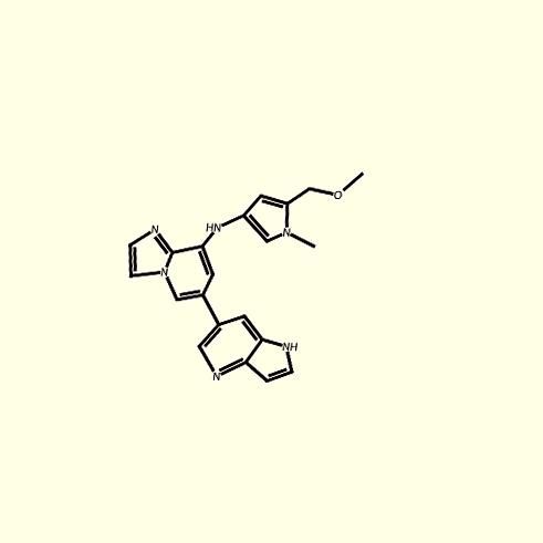 COCc1cc(Nc2cc(-c3cnc4cc[nH]c4c3)cn3ccnc23)cn1C